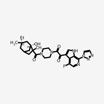 CC[C@@]1(C)CC2CC(C)(C(=O)N3CCN(C(=O)C(=O)c4c[nH]c5c(-n6ccnn6)ncc(F)c45)CC3)[C@@](O)(C2)C1